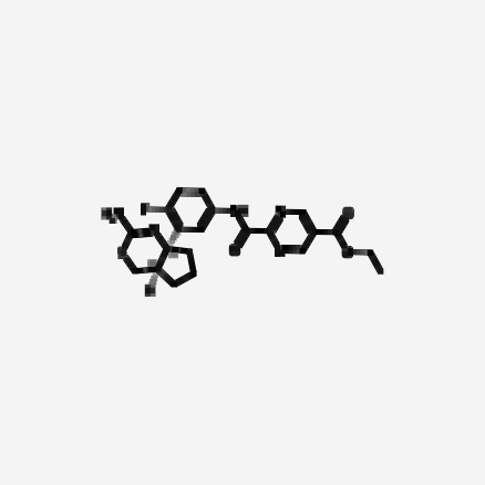 CCOC(=O)c1cnc(C(=O)Nc2ccc(F)c([C@]34CCC[C@H]3CSC(N)=N4)c2)nc1